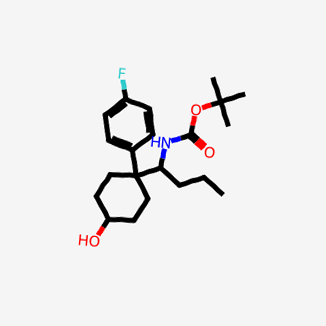 CCCC(NC(=O)OC(C)(C)C)C1(c2ccc(F)cc2)CCC(O)CC1